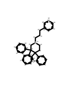 OCC1(c2ccccc2)CCN(CCCc2cccnc2)CC1(c1ccccc1)c1ccccc1